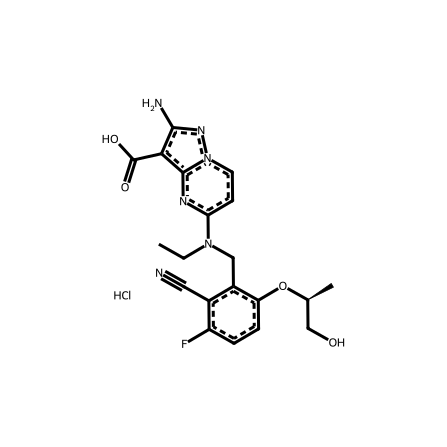 CCN(Cc1c(O[C@@H](C)CO)ccc(F)c1C#N)c1ccn2nc(N)c(C(=O)O)c2n1.Cl